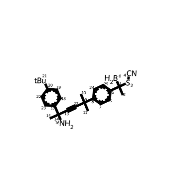 BC(C)(SC#N)c1ccc(C(C)(C)C#CC(C)(N)c2ccc(C(C)(C)C)cc2)cc1